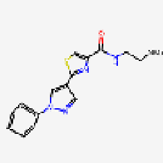 CNCCNC(=O)c1csc(-c2cnn(-c3ccccc3)c2)n1